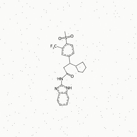 CS(=O)(=O)c1ccc(C(CC(=O)Nc2nc3ccccc3[nH]2)C2CCCC2)cc1C(F)(F)F